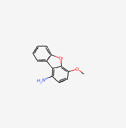 COc1ccc(N)c2c1oc1ccccc12